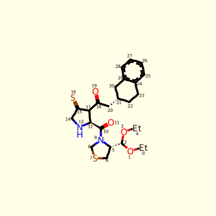 CCOC(OCC)[C@@H]1CSCN1C(=O)[C@H]1NCC(=S)C1C(=O)C[C@H]1CCc2ccccc2C1